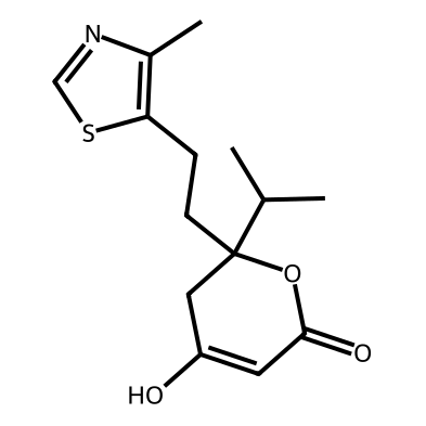 Cc1ncsc1CCC1(C(C)C)CC(O)=CC(=O)O1